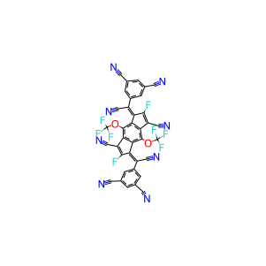 N#CC1=C(F)/C(=C(/C#N)c2cc(C#N)cc(C#N)c2)c2c(OC(F)(F)F)c3c(c(OC(F)(F)F)c21)/C(=C(\C#N)c1cc(C#N)cc(C#N)c1)C(F)=C3C#N